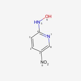 O=[N+]([O-])c1ccc(NO)nc1